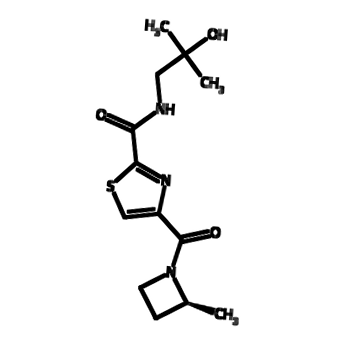 C[C@H]1CCN1C(=O)c1csc(C(=O)NCC(C)(C)O)n1